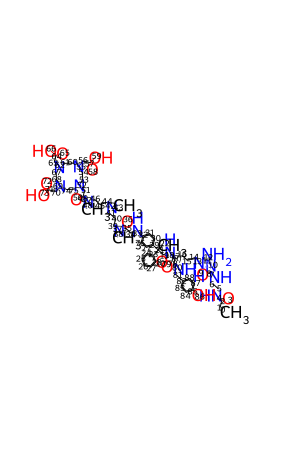 CCC(=O)NCCNC(=O)/N=C(/N)NCCC[C@@H](NC(=O)C(C)(c1ccccc1)c1ccc(NCC(=O)N(C)CCCN(C)CCCN(C)C(=O)CN2CCN(CC(=O)O)CCN(CC(=O)O)CCN(CC(=O)O)CC2)cc1)C(=O)NCc1ccc(O)cc1